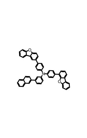 c1cc(-c2ccc3ccccc3c2)cc(N(c2ccc(-c3ccc4oc5ccccc5c4c3)cc2)c2ccc(-c3cccc4c3oc3ccccc34)cc2)c1